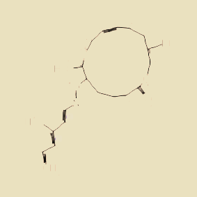 C=C/C=C(C)/C=C/NOC1CCCC(=O)OCC(CC)CCC=CCCC1C